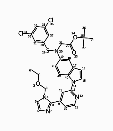 CCOCn1ccnc1-c1ccnc(-n2ccc3cc(N(CC(=O)OC(C)(C)C)Sc4cc(Cl)cc(Cl)c4)ccc32)c1